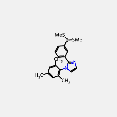 CSB(SC)c1cccc(-c2nccn2-c2c(C)cc(C)cc2C)c1